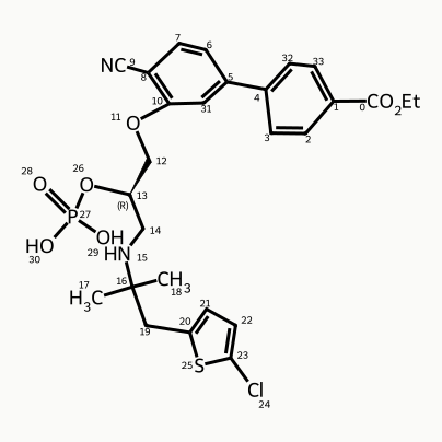 CCOC(=O)c1ccc(-c2ccc(C#N)c(OC[C@@H](CNC(C)(C)Cc3ccc(Cl)s3)OP(=O)(O)O)c2)cc1